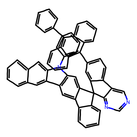 c1ccc(-c2c3ccccc3c(-c3ccc4c(c3)C3(c5ccccc5-c5cc6c7cc8ccccc8cc7n(-c7ccccc7)c6cc53)c3ncncc3-4)c3ccccc23)cc1